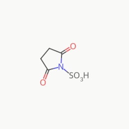 O=C1CCC(=O)N1S(=O)(=O)O